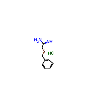 Cl.N=C(N)CSCc1ccccc1